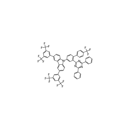 FC(F)(F)c1ccc(-c2ccc(-n3c4ccc(-c5cc(C(F)(F)F)cc(C(F)(F)F)c5)cc4c4cc(-c5cc(C(F)(F)F)cc(C(F)(F)F)c5)ccc43)cc2-c2nc(-c3ccccc3)nc(-c3ccccc3)n2)cc1